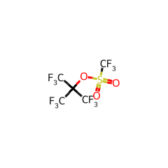 O=S(=O)(OC(C(F)(F)F)(C(F)(F)F)C(F)(F)F)C(F)(F)F